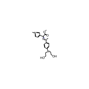 COC(=O)/C(=N\N(C)c1ccc(N(CCO)CCO)cc1)c1cc[n+](C)cc1